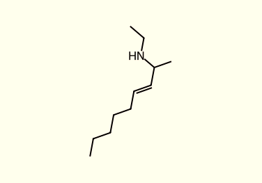 CCCCCC=CC(C)NCC